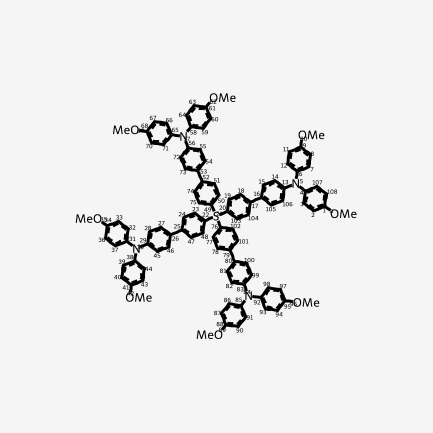 COc1ccc(N(c2ccc(OC)cc2)c2ccc(-c3ccc(S(c4ccc(-c5ccc(N(c6ccc(OC)cc6)c6ccc(OC)cc6)cc5)cc4)(c4ccc(-c5ccc(N(c6ccc(OC)cc6)c6ccc(OC)cc6)cc5)cc4)c4ccc(-c5ccc(N(c6ccc(OC)cc6)c6ccc(OC)cc6)cc5)cc4)cc3)cc2)cc1